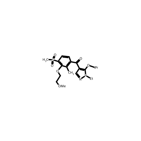 [CH2]C(C)Oc1c(C(=O)c2ccc(S(C)(=O)=O)c(OCCOC)c2C)cnn1CC